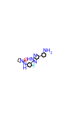 Nc1cccc(-c2cnc3[nH]c(-c4cc(NC(=O)N5CCCC5)ccc4F)nc3c2)c1